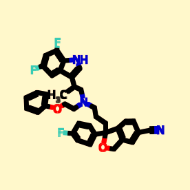 CC(CN(CCCC1(c2ccc(F)cc2)OCc2cc(C#N)ccc21)CCOc1ccccc1)c1c[nH]c2c(F)cc(F)cc12